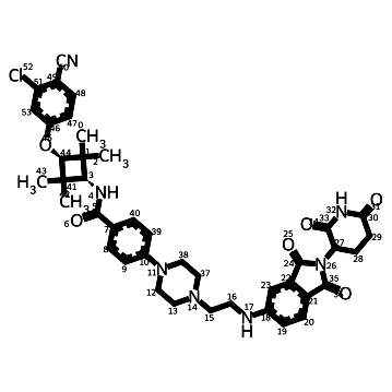 CC1(C)[C@H](NC(=O)c2ccc(N3CCN(CCNc4ccc5c(c4)C(=O)N(C4CCC(=O)NC4=O)C5=O)CC3)cc2)C(C)(C)[C@H]1Oc1ccc(C#N)c(Cl)c1